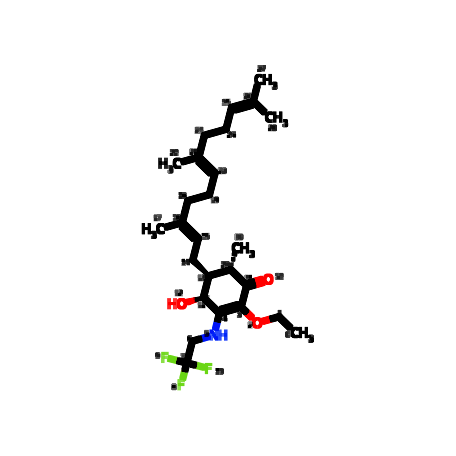 CCOC1=C(NCC(F)(F)F)[C@@H](O)[C@@H](C/C=C(\C)CC/C=C(\C)CCC=C(C)C)[C@H](C)C1=O